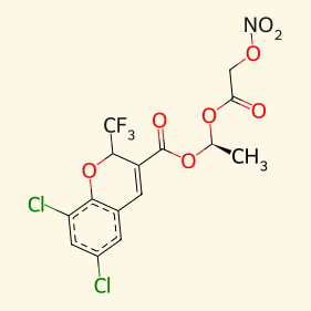 C[C@H](OC(=O)CO[N+](=O)[O-])OC(=O)C1=Cc2cc(Cl)cc(Cl)c2OC1C(F)(F)F